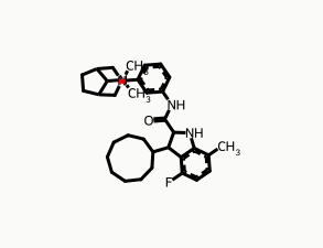 Cc1ccc(F)c2c1NC(C(=O)Nc1cccc(N3CC4CCC(C3)C4N(C)C)c1)C2C1CCCCCCCC1